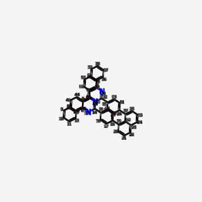 c1ccc(-c2cc(-c3ccccc3)nc(-c3ccc(-c4cccc5cccc(-c6ccc(-c7nc(-c8ccccc8)cc(-c8ccccc8)n7)cc6)c45)cc3)n2)cc1